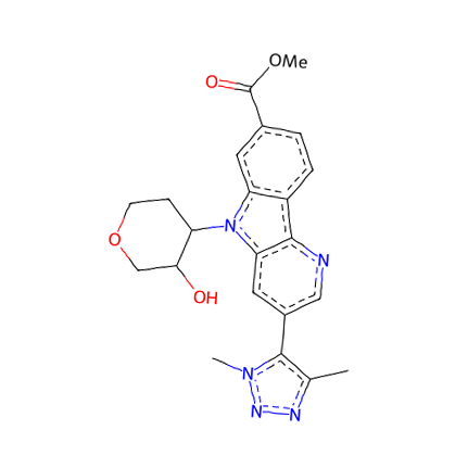 COC(=O)c1ccc2c3ncc(-c4c(C)nnn4C)cc3n(C3CCOCC3O)c2c1